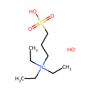 CC[N+](CC)(CC)CCCS(=O)(=O)O.[OH-]